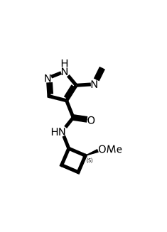 C=Nc1[nH]ncc1C(=O)NC1CC[C@@H]1OC